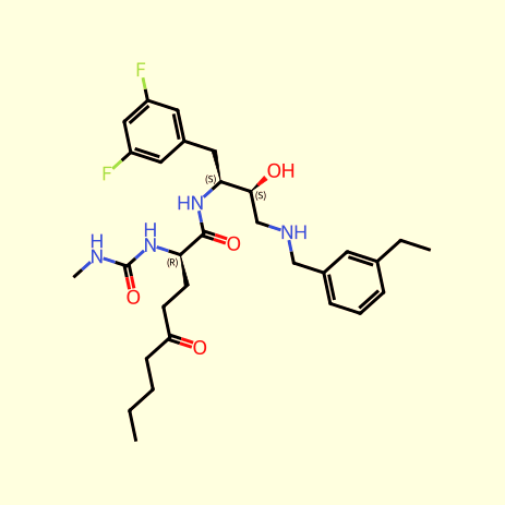 CCCCC(=O)CC[C@@H](NC(=O)NC)C(=O)N[C@@H](Cc1cc(F)cc(F)c1)[C@@H](O)CNCc1cccc(CC)c1